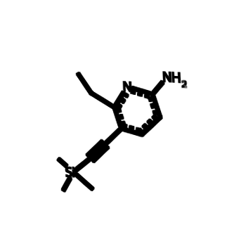 CCc1nc(N)ccc1C#C[Si](C)(C)C